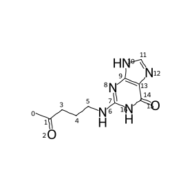 CC(=O)CCCNc1nc2[nH]cnc2c(=O)[nH]1